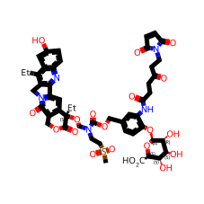 CCc1c2c(nc3ccc(O)cc13)-c1cc3c(c(=O)n1C2)COC(=O)[C@@]3(CC)OCN(CCS(C)(=O)=O)C(=O)OCc1ccc(O[C@@H]2O[C@H](C(=O)O)[C@@H](O)[C@H](O)[C@H]2O)c(NC(=O)CCC(=O)CCN2C(=O)C=CC2=O)c1